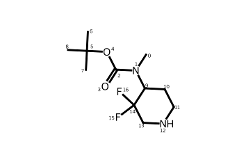 CN(C(=O)OC(C)(C)C)C1CCNCC1(F)F